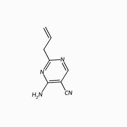 C=CCc1ncc(C#N)c(N)n1